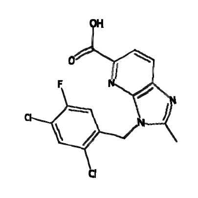 Cc1nc2ccc(C(=O)O)nc2n1Cc1cc(F)c(Cl)cc1Cl